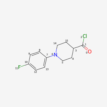 O=C(Cl)C1CCN(c2ccc(F)cc2)CC1